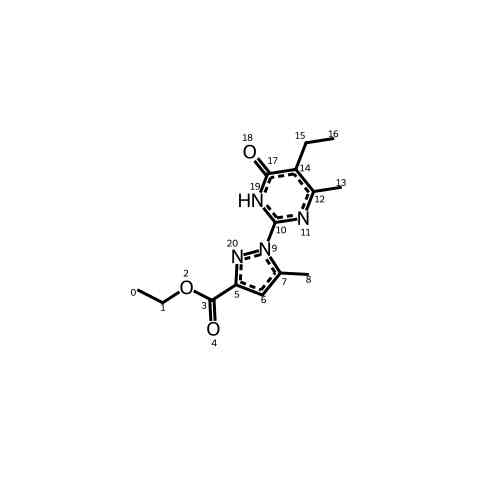 CCOC(=O)c1cc(C)n(-c2nc(C)c(CC)c(=O)[nH]2)n1